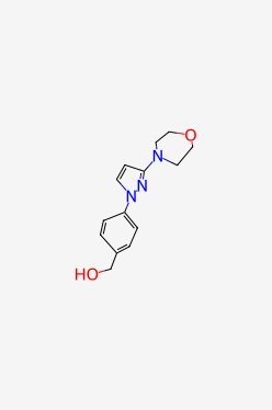 OCc1ccc(-n2ccc(N3CCOCC3)n2)cc1